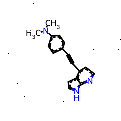 CN(C)c1ccc(C#Cc2ccnc3[nH]ccc23)cc1